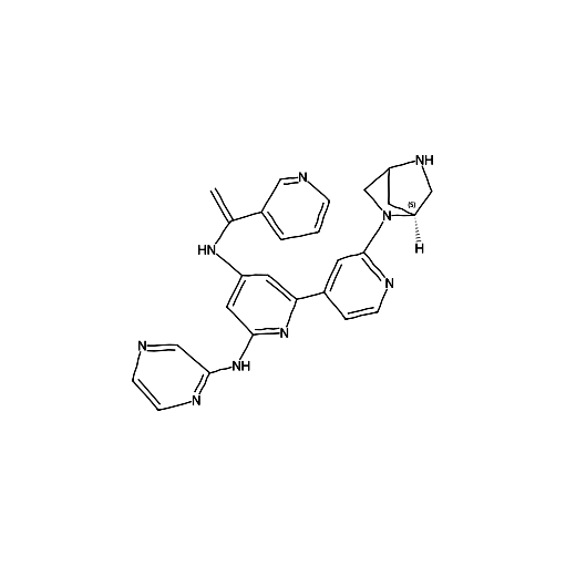 C=C(Nc1cc(Nc2cnccn2)nc(-c2ccnc(N3CC4C[C@H]3CN4)c2)c1)c1cccnc1